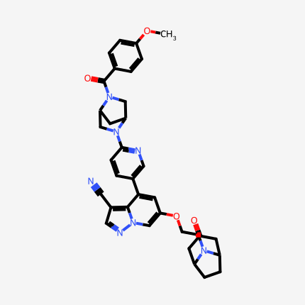 COc1ccc(C(=O)N2CC3CC2CN3c2ccc(-c3cc(OCCN4C5CCC4CC(=O)C5)cn4ncc(C#N)c34)cn2)cc1